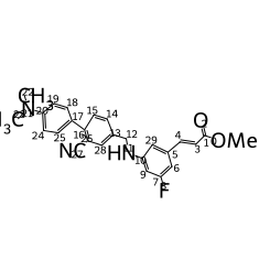 COC(=O)/C=C/c1cc(F)cc(NCc2ccc(-c3ccc(N(C)C)cc3)c(C#N)c2)c1